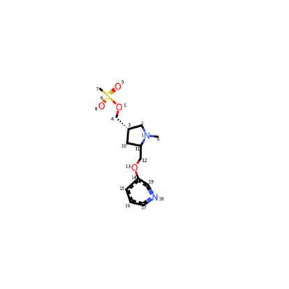 CN1C[C@@H](COS(C)(=O)=O)CC1COc1cccnc1